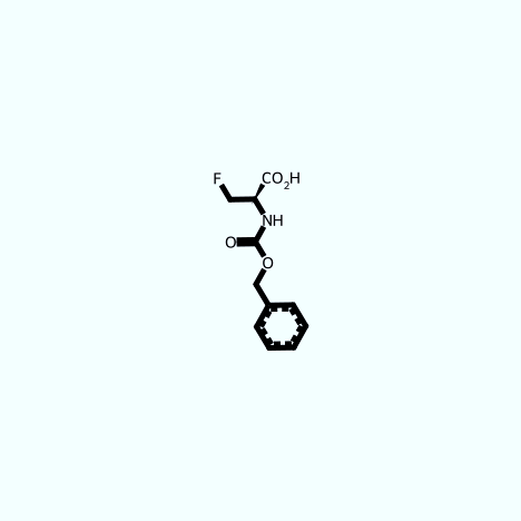 O=C(N[C@@H](CF)C(=O)O)OCc1ccccc1